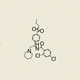 CCCS(=O)(=O)c1ccc(C(CN2CCCCC2)NC(=O)c2ccc(Cl)cc2Cl)cc1